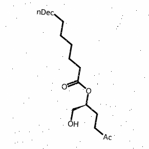 CCCCCCCCCCCCCCCC(=O)O[C@H](CO)CCC(C)=O